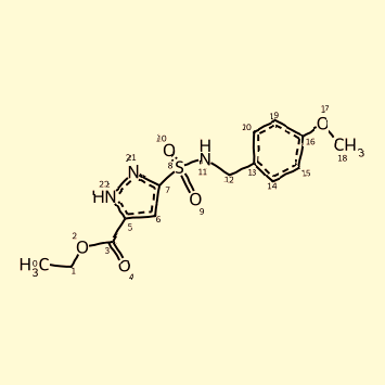 CCOC(=O)c1cc(S(=O)(=O)NCc2ccc(OC)cc2)n[nH]1